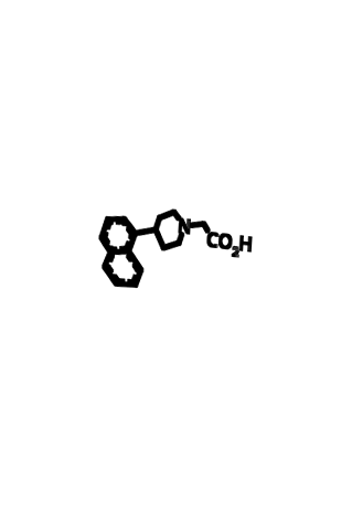 O=C(O)CN1CCC(c2cccc3ccccc23)CC1